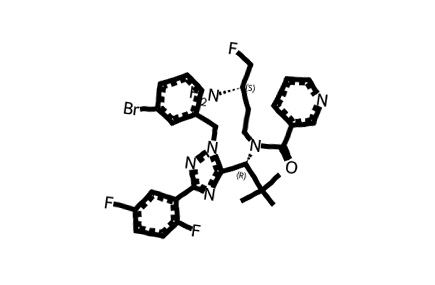 CC(C)(C)[C@H](c1nc(-c2cc(F)ccc2F)nn1Cc1cccc(Br)c1)N(CC[C@H](N)CF)C(=O)c1cccnc1